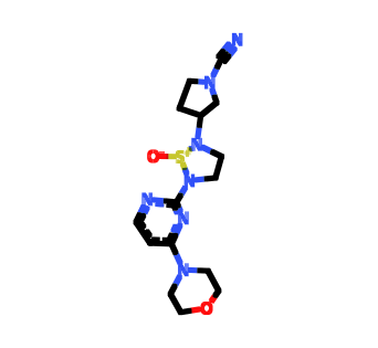 N#CN1CCC(N2CCN(c3nccc(N4CCOCC4)n3)[S+]2[O-])C1